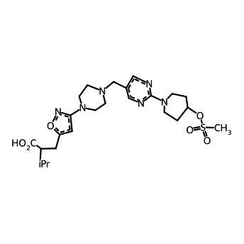 CC(C)C(Cc1cc(N2CCN(Cc3cnc(N4CCC(OS(C)(=O)=O)CC4)nc3)CC2)no1)C(=O)O